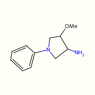 COC1CN(c2[c]cccc2)CC1N